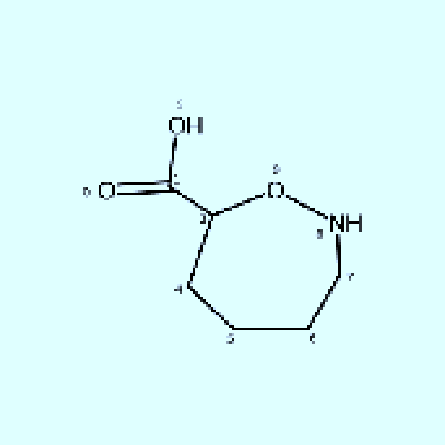 O=C(O)C1CCCCNO1